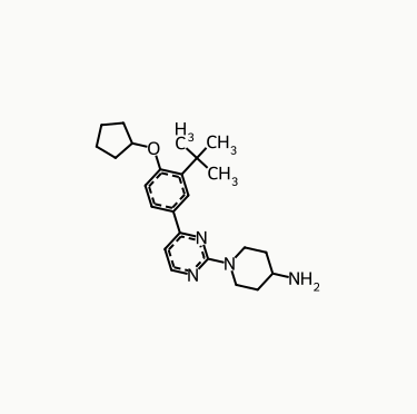 CC(C)(C)c1cc(-c2ccnc(N3CCC(N)CC3)n2)ccc1OC1CCCC1